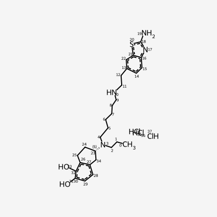 CCCN(CCCCCCNCCc1ccc2nc(N)sc2c1)[C@H]1CCc2c(ccc(O)c2O)C1.Cl.Cl.Cl